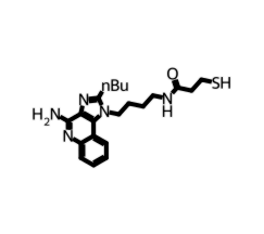 CCCCc1nc2c(N)nc3ccccc3c2n1CCCCNC(=O)CCS